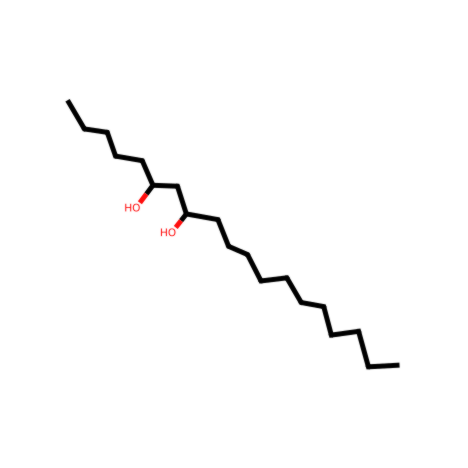 CCCCCCCCCCCC(O)CC(O)CCCCC